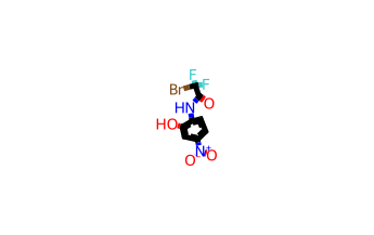 O=C(Nc1ccc([N+](=O)[O-])cc1O)C(F)(F)Br